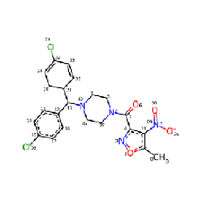 Cc1onc(C(=O)N2CCN(C(c3ccc(Cl)cc3)C3C=CC(Cl)=CC3)CC2)c1[N+](=O)[O-]